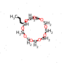 CCC[SiH]1O[SiH2]O[SiH2]O[SiH2]O[SiH2]O[SiH2]O[SiH2]O[SiH2]O[SiH2]O1